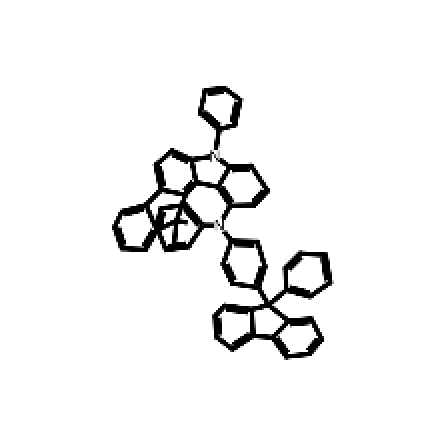 CC1(C)c2ccccc2-c2ccc3c(c21)c1c(N(c2ccccc2)c2ccc(C4(c5ccccc5)c5ccccc5-c5ccccc54)cc2)cccc1n3-c1ccccc1